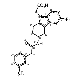 O=C(O)Cn1c2c(c3cc(F)ccc31)CC(NC(=O)Cc1cccc(C(F)(F)F)c1)CC2